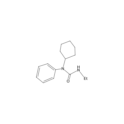 CCNC(=O)N(c1ccccc1)C1CCCCC1